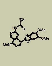 CNc1ncc(-c2nc3cc(OC)c(OC)cc3o2)c2cc(NC(=O)C3CC3)ncc12